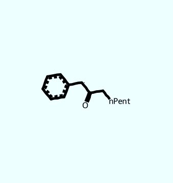 CCCCCCC(=O)[CH]c1ccccc1